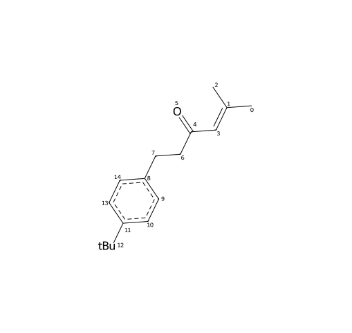 CC(C)=CC(=O)CCc1ccc(C(C)(C)C)cc1